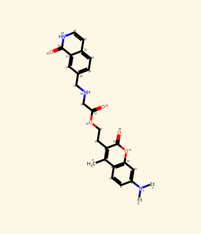 CCN(CC)c1ccc2c(C)c(CCOC(=O)CNCc3ccc4cc[nH]c(=O)c4c3)c(=O)oc2c1